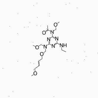 CCNc1nc(N(COC)COC/C=C/COC)nc(N(COC)C(C)=O)n1